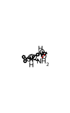 CC(C)CC(Nc1ccc(COC(=O)[C@H](CCCCN)NC(=O)OCC2c3ccccc3-c3ccccc32)cc1)=C1C(=O)CC(C)(C)CC1=O